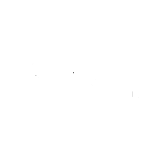 O=C1CCc2nc(-c3ccc(C(F)(F)F)cc3)ccc2N1